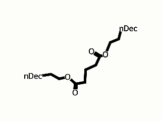 CCCCCCCCCCCCOC(=O)CCCC(=O)OCCCCCCCCCCCC